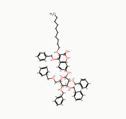 CCCCCCCCCCOc1c(OCc2ccccc2)c2ccc(O[C@@H]3O[C@H](COCc4ccccc4)[C@H](OCc4ccccc4)[C@H](OCc4ccccc4)[C@H]3OCc3ccccc3)cc2oc1=O